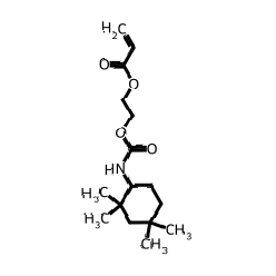 C=CC(=O)OCCOC(=O)NC1CCC(C)(C)CC1(C)C